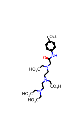 CCCCCCCCc1ccc(NC(=O)CN(CCN(CCN(CC(=O)O)CC(=O)O)CC(=O)O)CC(=O)O)cc1